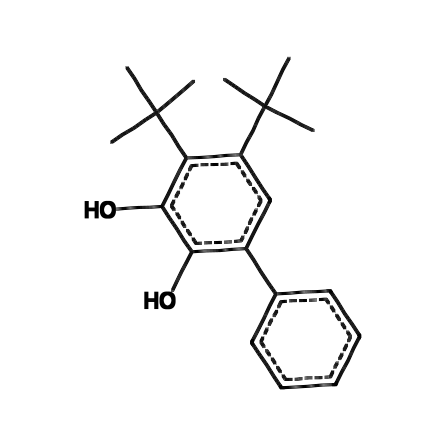 CC(C)(C)c1cc(-c2ccccc2)c(O)c(O)c1C(C)(C)C